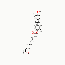 COc1ccc(C(C)(C)c2ccc(OC(=O)CCCCCCCCC(C)=O)c(C)c2)cc1C